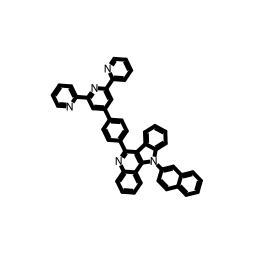 c1ccc(-c2cc(-c3ccc(-c4nc5ccccc5c5c4c4ccccc4n5-c4ccc5ccccc5c4)cc3)cc(-c3ccccn3)n2)nc1